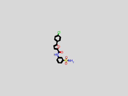 NS(=O)(=O)c1cccc(NC(=O)c2ccc(-c3ccc(Cl)cc3)o2)c1